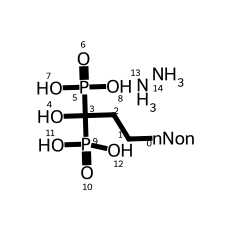 CCCCCCCCCCCC(O)(P(=O)(O)O)P(=O)(O)O.N.N